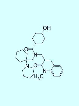 Cn1c(=O)c(CN(CC2(N3CCCCC3)CCCCC2)C(=O)[C@H]2CC[C@@H](O)CC2)cc2ccccc21